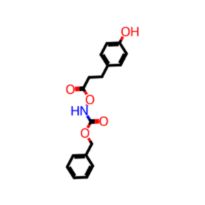 O=C(CCc1ccc(O)cc1)ONC(=O)OCc1ccccc1